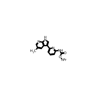 CCCOC(=O)Nc1cccc(-c2c[nH]c3ncc(C)cc23)n1